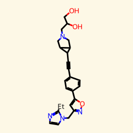 CCc1nccn1Cc1cc(-c2ccc(C#CC3C4CN(CC(O)CO)CC34)cc2)on1